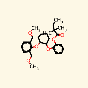 CCC(C)(C)C(=O)Oc1ccccc1OC1CCCCC1Oc1c(COC)cccc1COC